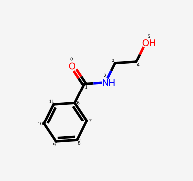 O=C(NCCO)c1c[c]ccc1